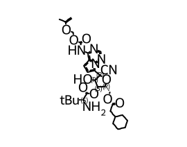 C=C(C)OCOC(=O)Nc1ncnn2c([C@]3(C#N)O[C@H](COC(=O)CC4CCCCC4)[C@@H](OC(=O)[C@@H](N)C(C)(C)C)[C@H]3O)ccc12